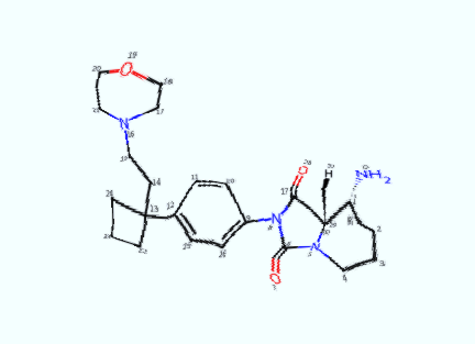 N[C@@H]1CCCN2C(=O)N(c3ccc(C4(CCN5CCOCC5)CCC4)cc3)C(=O)[C@H]12